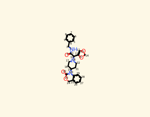 O=C(NCc1ccccc1)C(C1=COCO1)N1CCC(N2C(=O)OCc3ccccc32)CC1